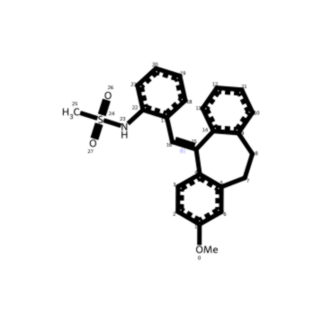 COc1ccc2c(c1)CCc1ccccc1/C2=C\c1ccccc1NS(C)(=O)=O